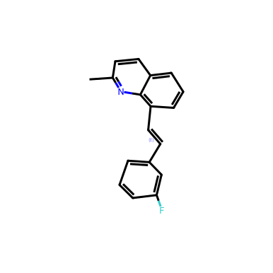 Cc1ccc2cccc(/C=C/c3cccc(F)c3)c2n1